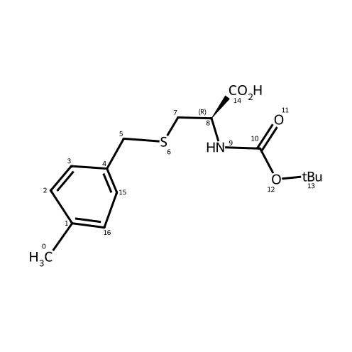 Cc1ccc(CSC[C@H](NC(=O)OC(C)(C)C)C(=O)O)cc1